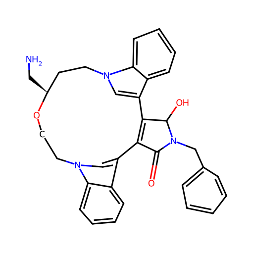 NC[C@H]1CCn2cc(c3ccccc32)C2=C(C(=O)N(Cc3ccccc3)C2O)c2cn(c3ccccc23)CCO1